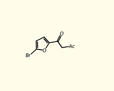 CC(=O)CC(=O)c1ccc(Br)o1